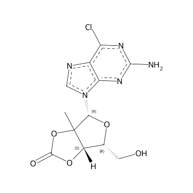 CC12OC(=O)O[C@H]1[C@@H](CO)O[C@H]2n1cnc2c(Cl)nc(N)nc21